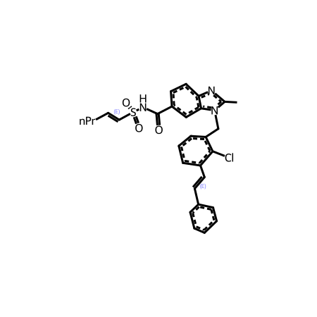 CCC/C=C/S(=O)(=O)NC(=O)c1ccc2nc(C)n(Cc3cccc(/C=C/c4ccccc4)c3Cl)c2c1